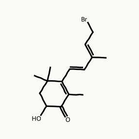 CC(C=CC1=C(C)C(=O)C(O)CC1(C)C)=CCBr